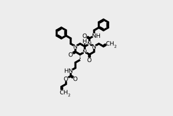 C=CCOC(=O)NCCC[C@@H]1C(=O)N(CCc2ccccc2)C[C@H]2N1C(=O)CN(CC=C)N2C(=O)NCc1ccccc1